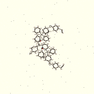 C=Cc1ccc(Oc2ccc(C3(c4c(F)cccc4F)c4ccccc4-c4ccc(N(c5ccc(F)cc5)c5ccc6c(c5)C(c5ccc(Oc7ccc(C=C)cc7)cc5)(c5c(F)cccc5F)c5ccccc5-6)cc43)cc2)cc1